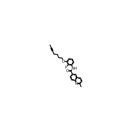 CC#CCCCCOc1cccc(NC(=O)c2ccc3nc(C)ccc3c2)c1F